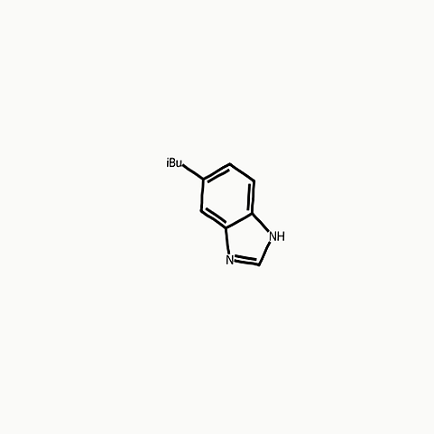 CCC(C)c1ccc2[nH]cnc2c1